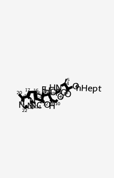 CCCCCCCOC(=O)[C@H](C)NP1(=O)OC[C@H]2O[C@@](C#N)(c3ccc4c(C)ncnn34)[C@](C)(F)[C@@H]2O1